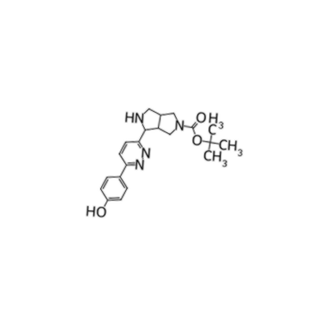 CC(C)(C)OC(=O)N1CC2CNC(c3ccc(-c4ccc(O)cc4)nn3)C2C1